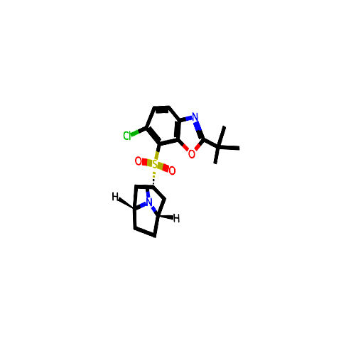 CN1[C@@H]2CC[C@H]1C[C@@H](S(=O)(=O)c1c(Cl)ccc3nc(C(C)(C)C)oc13)C2